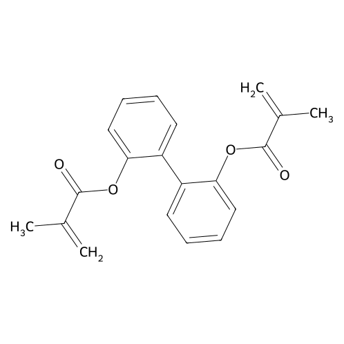 C=C(C)C(=O)Oc1ccccc1-c1ccccc1OC(=O)C(=C)C